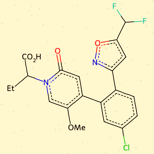 CCC(C(=O)O)n1cc(OC)c(-c2cc(Cl)ccc2-c2cc(C(F)F)on2)cc1=O